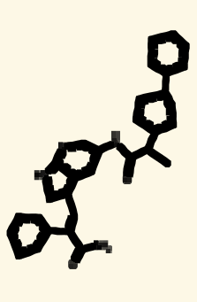 CC(C(=O)Nc1cnc2[nH]cc(/C=C(/C(N)=O)c3ccccc3)c2c1)c1ccc(-c2ccccc2)cc1